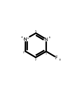 FC1=CC=[N+]C=N1